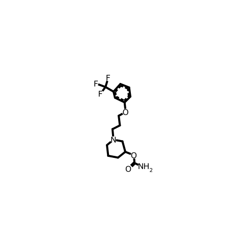 NC(=O)OC1CCCN(CCCOc2cccc(C(F)(F)F)c2)C1